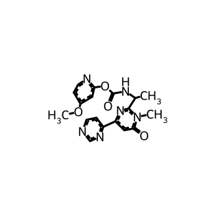 COc1ccnc(OC(=O)NC(C)c2nc(-c3ccncn3)cc(=O)n2C)c1